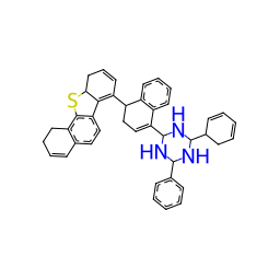 C1=CCC(C2NC(C3=CCC(C4=C5c6ccc7c(c6SC5CC=C4)CCC=C7)c4ccccc43)NC(c3ccccc3)N2)C=C1